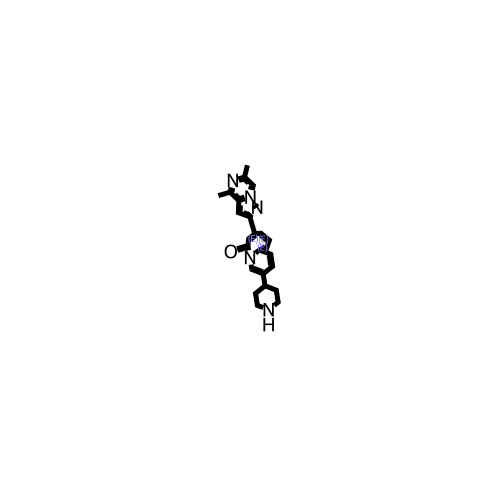 Cc1cn2nc(C3=C\C(=O)N4C=C(C5CCNCC5)C=C\C4=C/C=C/3)cc2c(C)n1